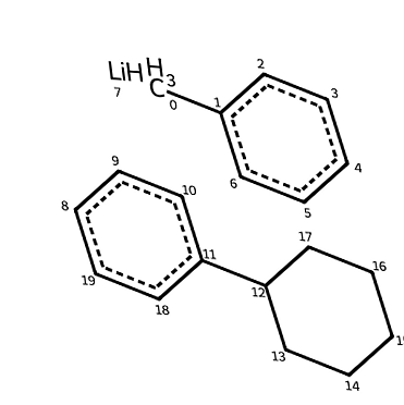 Cc1ccccc1.[LiH].c1ccc(C2CCCCC2)cc1